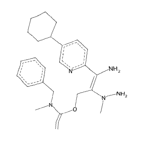 C=C(OC/C(=C(/N)c1ccc(C2CCCCC2)cn1)N(C)N)N(C)Cc1ccccc1